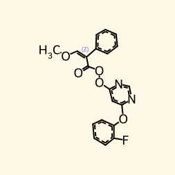 CO/C=C(\C(=O)OOc1cc(Oc2ccccc2F)ncn1)c1ccccc1